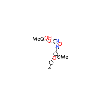 COCC(O)COCc1ccnc(C(=O)N2CC(c3ccc(OCc4ccc(C5CC5)cc4)c(OC)c3)C2)c1